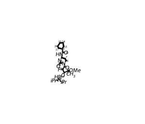 CO[C@@]1(C)O[C@@H](n2ccc(NC(=O)c3ccccc3)nc2=O)[C@@H](F)C1OPN(C(C)C)C(C)C